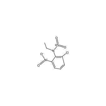 CCN(c1c(Cl)cccc1[N+](=O)[O-])[SH](=O)=O